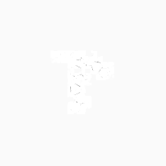 CCOC(=O)c1nn(-c2cc3c(cc2F)OCC3)c2c1CCN(c1ccc(N3CCCCC3=O)cc1)C2=O